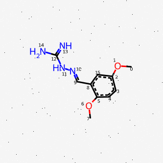 COc1ccc(OC)c(/C=N/NC(=N)N)c1